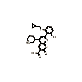 O=C(O)c1cc2c(C3CCCNC3)cc(-c3c(O)cccc3OCC3CC3)nc2[nH]c1=O